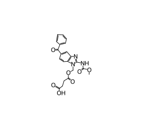 COC(=O)Nc1nc2cc(C(=O)c3ccccc3)ccc2n1COC(=O)CCC(=O)O